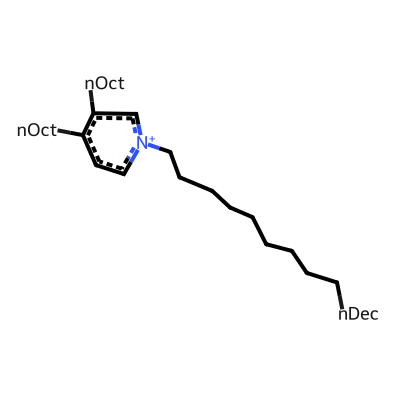 CCCCCCCCCCCCCCCCCCC[n+]1ccc(CCCCCCCC)c(CCCCCCCC)c1